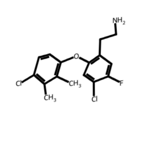 Cc1c(Cl)ccc(Oc2cc(Cl)c(F)cc2CCN)c1C